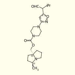 CC(C)C(C=O)c1cc(N2CCN(C(=O)OC[C@]34CCCN3[C@@H](C)CC4)CC2)no1